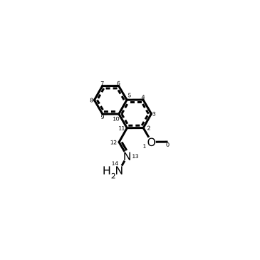 COc1ccc2ccccc2c1C=NN